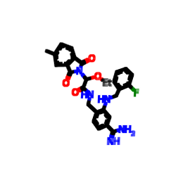 CCOC(C(=O)NCc1ccc(C(=N)N)cc1NCc1ccccc1F)N1C(=O)c2ccc(C)cc2C1=O